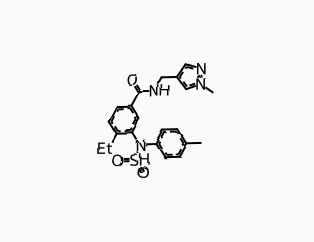 CCc1ccc(C(=O)NCc2cnn(C)c2)cc1N(c1ccc(C)cc1)[SH](=O)=O